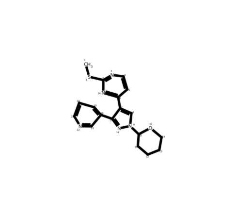 CSc1nccc(-c2cn(C3CCCCO3)nc2-c2cccnc2)n1